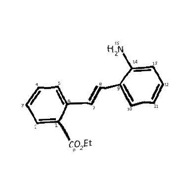 CCOC(=O)c1ccccc1/C=C/c1ccccc1N